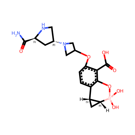 NC(=O)[C@@H]1C[C@@H](N2CC(Oc3ccc4c(c3C(=O)O)O[B-](O)(O)[C@@H]3C[C@H]43)C2)CN1